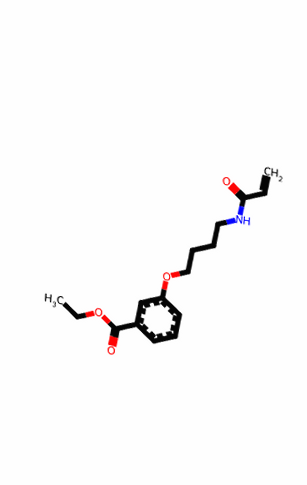 C=CC(=O)NCCCCOc1cccc(C(=O)OCC)c1